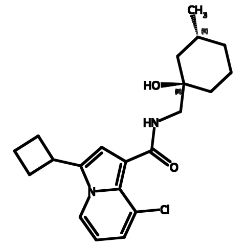 C[C@@H]1CCC[C@](O)(CNC(=O)c2cc(C3CCC3)n3cccc(Cl)c23)C1